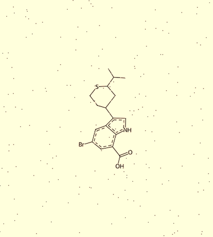 CC(C)C1CC(c2c[nH]c3c(C(=O)O)cc(Br)cc23)CCS1